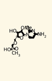 COC1C(O)[C@@H](COCP(C)(=O)O)O[C@H]1n1ccc(N)nc1=O